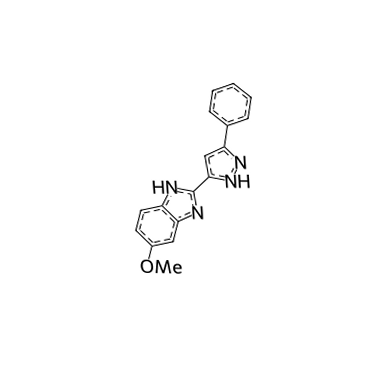 COc1ccc2[nH]c(-c3cc(-c4ccccc4)n[nH]3)nc2c1